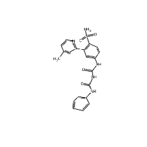 Cc1ccnc(-c2cc(NC(=O)NC(=O)Nc3ccccc3)ccc2S(N)(=O)=O)n1